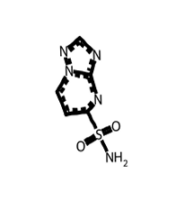 NS(=O)(=O)c1ccn2ncnc2n1